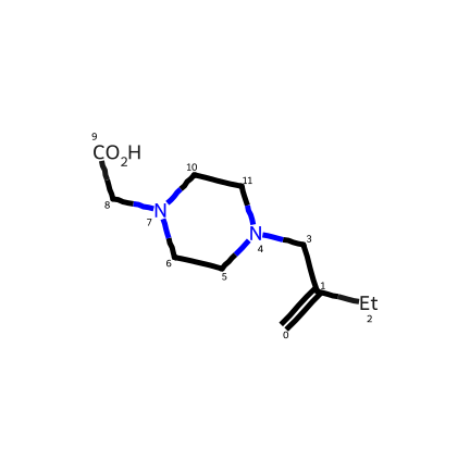 C=C(CC)CN1CCN(CC(=O)O)CC1